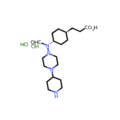 Cl.Cl.O=CN([C@H]1CC[C@H](CCC(=O)O)CC1)N1CCN(C2CCNCC2)CC1